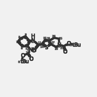 CC(C)(C)OC(=O)Nc1ccccc1NC(=O)c1cc2c(s1)CN(C(=O)OC(C)(C)C)CC2